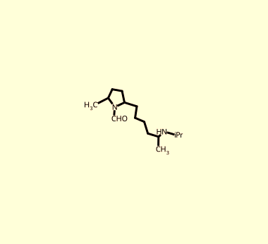 CC(C)NC(C)CCCCC1CCC(C)N1C=O